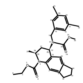 CCOC(=O)N1c2cc3c(cc2[C@H](N(Cc2cc(C)cc(C)c2)C(=O)OC)C[C@@H]1C)CCC3